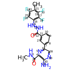 CNC(=O)c1nc(-c2cccc(C(=O)NNc3c(F)c(F)c(C)c(F)c3F)c2)cnc1N